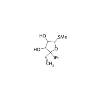 C=CC1(C(C)C)OC(SC)C(O)C1O